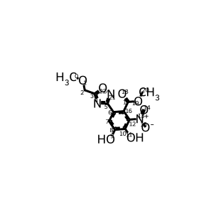 COCc1nc(-c2cc(O)c(O)c([N+](=O)[O-])c2C(=O)OC)no1